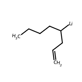 [Li][CH](CC=C)CCCC